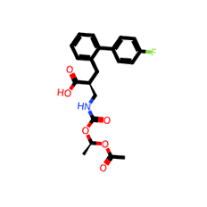 CC(=O)O[C@@H](C)OC(=O)NC[C@H](Cc1ccccc1-c1ccc(F)cc1)C(=O)O